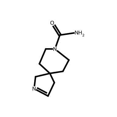 NC(=O)N1CCC2(CC=NC2)CC1